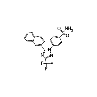 NS(=O)(=O)c1ccc(-n2nc(C(F)(F)F)nc2-c2ccc3ccccc3c2)cc1